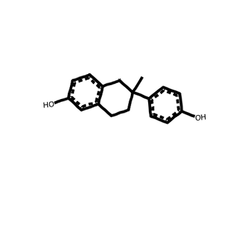 CC1(c2ccc(O)cc2)[C]c2ccc(O)cc2CC1